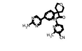 Cc1nc(NC(=O)C2(c3ccc(-c4cnc(N)nc4)cc3)CCOCC2)ccc1C#N